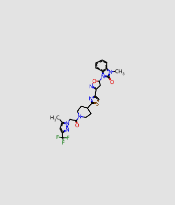 Cc1cc(C(F)(F)F)nn1CC(=O)N1CCC(c2nc(C3=NO[C@@H](n4c(=O)n(C)c5ccccc54)C3)cs2)CC1